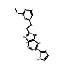 COc1cccc(CCc2nc3ncc(-c4ccco4)cc3[nH]2)c1